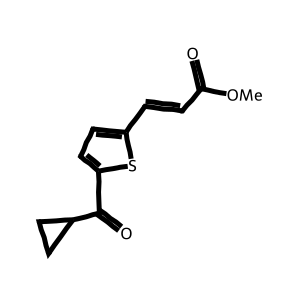 COC(=O)C=Cc1ccc(C(=O)C2CC2)s1